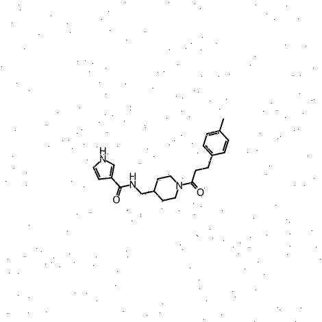 Cc1ccc(CCC(=O)N2CCC(CNC(=O)c3cc[nH]c3)CC2)cc1